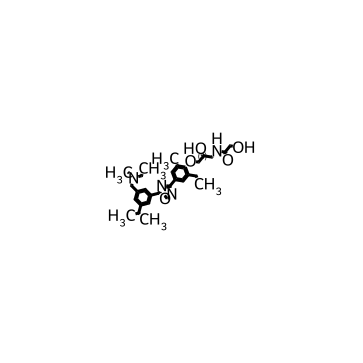 CCc1cc(-c2noc(-c3cc(CN(C)CC)cc(C(C)C)c3)n2)cc(C)c1OC[C@@H](O)CNC(=O)CO